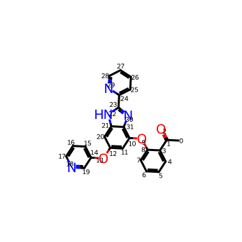 CC(=O)c1ccccc1Oc1cc(Oc2cccnc2)cc2[nH]c(-c3ccccn3)nc12